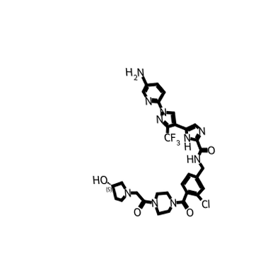 Nc1ccc(-n2cc(-c3cnc(C(=O)NCc4ccc(C(=O)N5CCN(C(=O)CN6CC[C@H](O)C6)CC5)c(Cl)c4)[nH]3)c(C(F)(F)F)n2)nc1